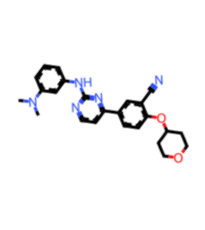 CN(C)c1cccc(Nc2nccc(-c3ccc(OC4CCOCC4)c(C#N)c3)n2)c1